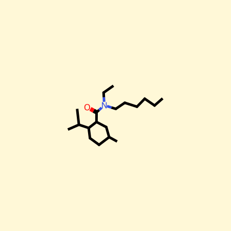 CCCCCCN(CC)C(=O)C1CC(C)CCC1C(C)C